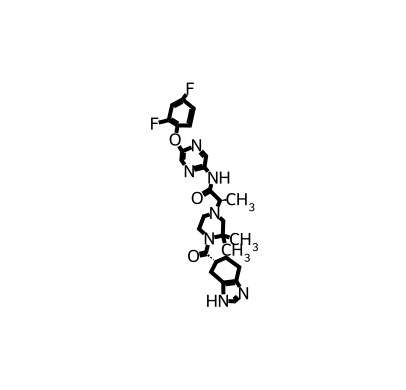 C[C@@H](C(=O)Nc1cnc(Oc2ccc(F)cc2F)cn1)N1CCN(C(=O)[C@@H]2CCc3nc[nH]c3C2)C(C)(C)C1